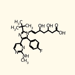 CNc1nccc(-c2nc(C(C)(C)C)n(/C=C/C(O)CC(O)CC(=O)O)c2-c2ccc(F)cc2)n1